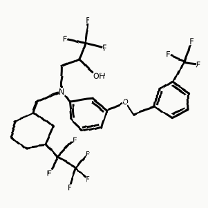 OC(CN(CC1CCCC(C(F)(F)C(F)(F)F)C1)c1cccc(OCc2cccc(C(F)(F)F)c2)c1)C(F)(F)F